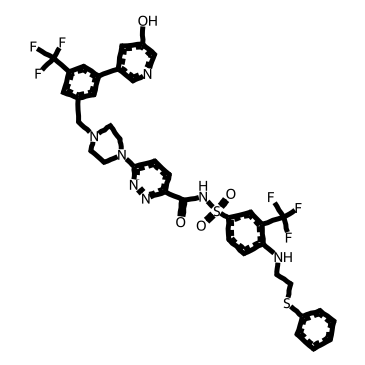 O=C(NS(=O)(=O)c1ccc(NCCSc2ccccc2)c(C(F)(F)F)c1)c1ccc(N2CCN(Cc3cc(-c4cncc(O)c4)cc(C(F)(F)F)c3)CC2)nn1